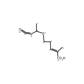 CC(=CCCOC(C)N=C=O)C(=O)O